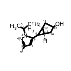 CC(C)n1nc(I)cc1C1[C@H]2CC(O)C[C@@H]12